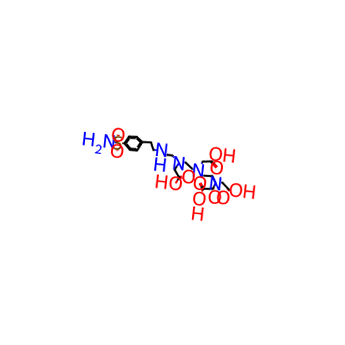 NS(=O)(=O)c1ccc(CCNCCN(CCN(CCN(CC(=O)O)C(=O)C(=O)O)CC(=O)O)CC(=O)O)cc1